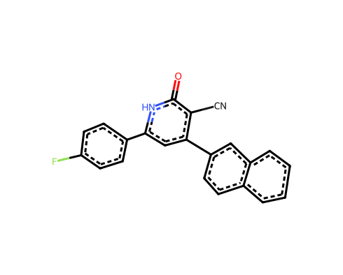 N#Cc1c(-c2ccc3ccccc3c2)cc(-c2ccc(F)cc2)[nH]c1=O